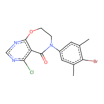 Cc1cc(N2CCOc3ncnc(Cl)c3C2=O)cc(C)c1Br